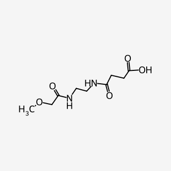 COCC(=O)NCCNC(=O)CCC(=O)O